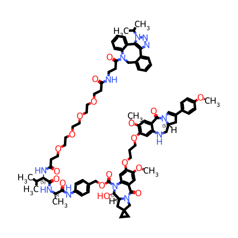 COc1ccc(C2=CN3C(=O)c4cc(OC)c(OCCCOc5cc6c(cc5OC)C(=O)N5CC7(CC7)C[C@H]5[C@H](O)N6C(=O)OCc5ccc(NC(=O)[C@H](C)NC(=O)[C@@H](NC(=O)CCOCCOCCOCCOCCC(=O)NCCC(=O)N6Cc7ccccc7-c7nnn(C(C)C)c7-c7ccccc76)C(C)C)cc5)cc4NC[C@@H]3C2)cc1